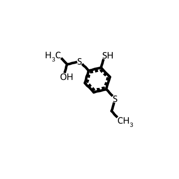 CCSc1ccc(SC(C)O)c(S)c1